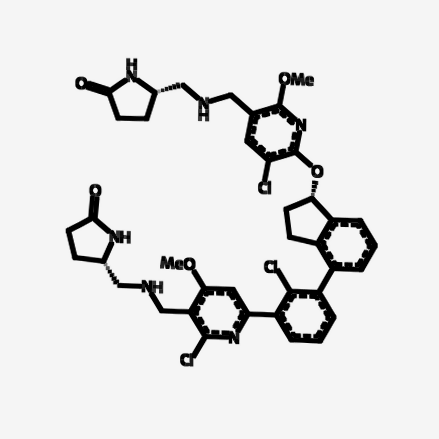 COc1cc(-c2cccc(-c3cccc4c3CC[C@@H]4Oc3nc(OC)c(CNC[C@@H]4CCC(=O)N4)cc3Cl)c2Cl)nc(Cl)c1CNC[C@@H]1CCC(=O)N1